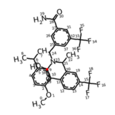 COc1ccc(C(C)C)cc1-c1ccc(C(F)(F)F)cc1C(C)N(Cc1cc(C(N)=O)cc(C(F)(F)F)c1)C(=O)O